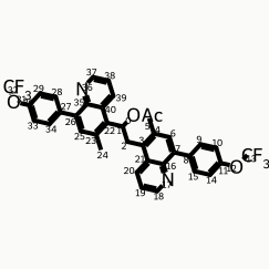 CC(=O)OC(Cc1c(C)cc(-c2ccc(OC(F)(F)F)cc2)c2ncccc12)c1c(C)cc(-c2ccc(OC(F)(F)F)cc2)c2ncccc12